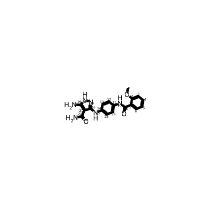 COc1ccccc1C(=O)Nc1ccc(Nc2n[nH]c(N)c2C(N)=O)cc1